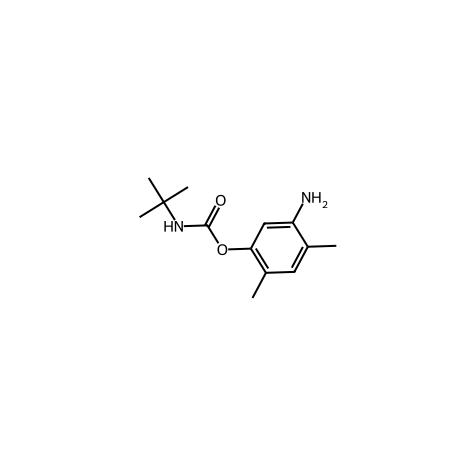 Cc1cc(C)c(OC(=O)NC(C)(C)C)cc1N